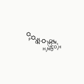 CC1(C)CC(C(N)=O)(C(=O)O)CCN1Cc1ccc(-c2noc(-c3ccc(-c4ccccc4)c(F)c3)n2)cc1